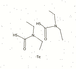 CCN(CC)C(=O)S.CCN(CC)C(=O)S.[Te]